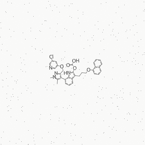 Cc1c(-c2cccc3c(CCCOc4cccc5ccccc45)c(OC(=O)O)[nH]c23)c(COc2cncc(Cl)c2)nn1C